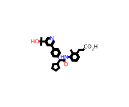 Cc1c(CCC(=O)O)cccc1NC(=O)[C@@H](c1ccc(-c2cncc(C(C)(C)O)c2)cc1)C1CCCC1